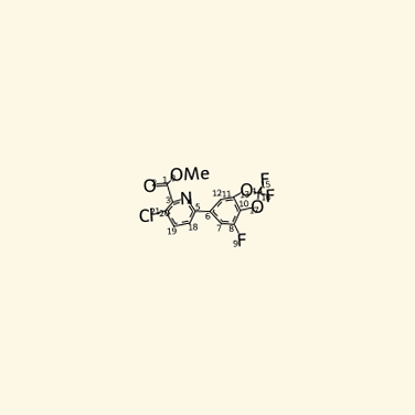 COC(=O)c1nc(-c2cc(F)c3c(c2)OC(F)(F)O3)ccc1Cl